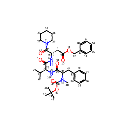 CC(C)[C@@H](C(=O)N[C@@H](CC(=O)OCc1ccccc1)C(=O)N1CCCCC1)N(C)C(=O)C(Cc1ccccc1)N(C)C(=O)OC(C)(C)C